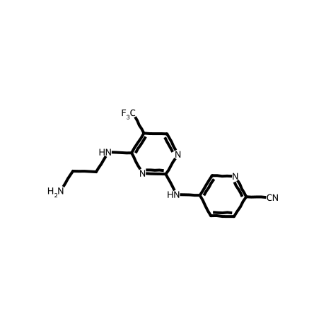 N#Cc1ccc(Nc2ncc(C(F)(F)F)c(NCCN)n2)cn1